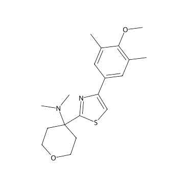 COc1c(C)cc(-c2csc(C3(N(C)C)CCOCC3)n2)cc1C